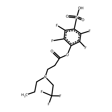 CCCN(CCC(=O)Oc1c(F)c(F)c(S(=O)(=O)O)c(F)c1F)CC(F)(F)F